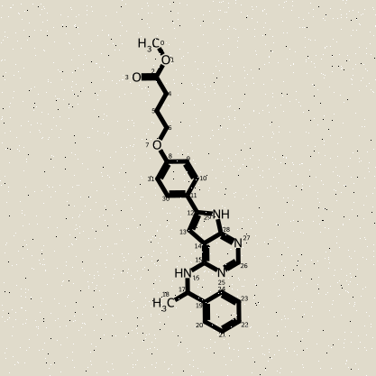 COC(=O)CCCOc1ccc(-c2cc3c(NC(C)c4ccccc4)ncnc3[nH]2)cc1